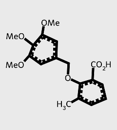 COc1cc(COc2c(C)cccc2C(=O)O)cc(OC)c1OC